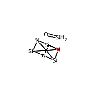 N12[Si]34N5[Si]16N3[Si]25N46.O=[SiH2]